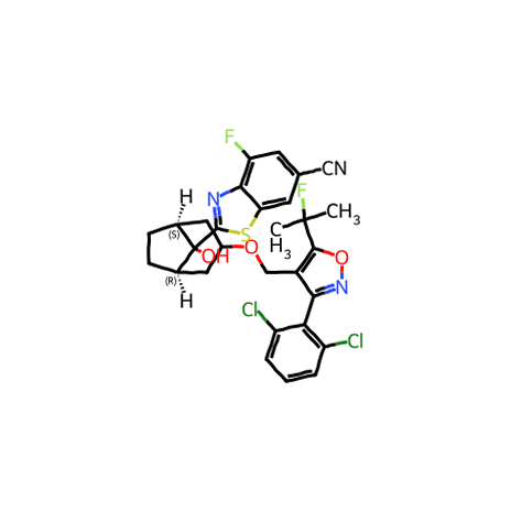 CC(C)(F)c1onc(-c2c(Cl)cccc2Cl)c1COC1C[C@H]2CC[C@@H](C1)C2(O)c1nc2c(F)cc(C#N)cc2s1